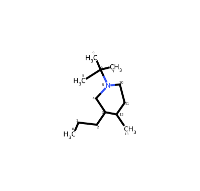 CCCC1CN(C(C)(C)C)CCC1C